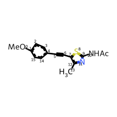 COc1ccc(C#Cc2sc(NC(C)=O)nc2C)cc1